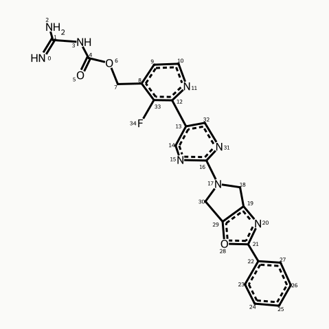 N=C(N)NC(=O)OCc1ccnc(-c2cnc(N3Cc4nc(-c5ccccc5)oc4C3)nc2)c1F